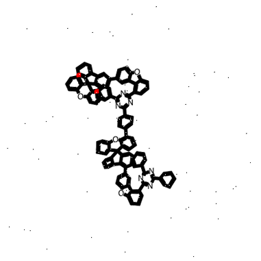 c1ccc(-c2nc(-c3ccc(-c4cccc5c4Oc4ccccc4C54c5ccccc5-c5c(-c6ccc7oc8cccc(-c9nc(-c%10ccccc%10)nc(-c%10ccccc%10)n9)c8c7c6)cccc54)cc3)nc(-c3cccc4oc5ccc(-c6ccc7c(c6)-c6ccccc6C76c7ccccc7Oc7ccccc76)cc5c34)n2)cc1